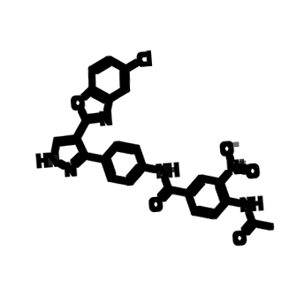 CC(=O)Nc1ccc(C(=O)Nc2ccc(-c3n[nH]cc3-c3nc4cc(Cl)ccc4o3)cc2)cc1[N+](=O)[O-]